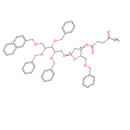 CC(=O)CCC(=O)O[C@@H]1C[C@H](OCC(OCc2ccccc2)C(OCc2ccccc2)C(COCc2ccc3ccccc3c2)OCc2ccccc2)OC1COCc1ccccc1